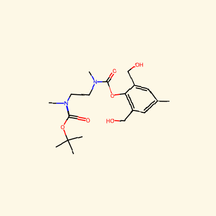 Cc1cc(CO)c(OC(=O)N(C)CCN(C)C(=O)OC(C)(C)C)c(CO)c1